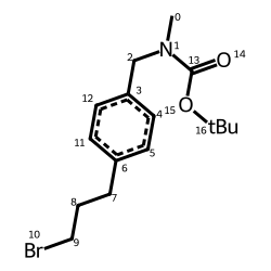 CN(Cc1ccc(CCCBr)cc1)C(=O)OC(C)(C)C